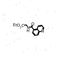 CCOC(=O)CNC(=O)c1cccc2ncccc12